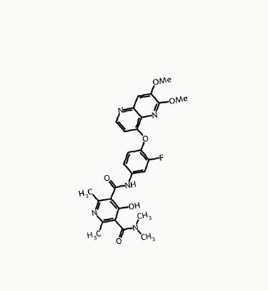 COc1cc2nccc(Oc3ccc(NC(=O)c4c(C)nc(C)c(C(=O)N(C)C)c4O)cc3F)c2nc1OC